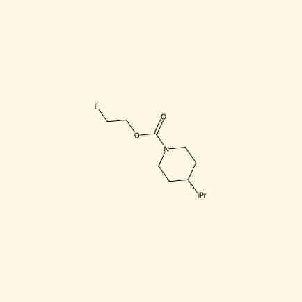 CC(C)C1CCN(C(=O)OCCF)CC1